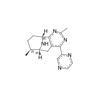 Cc1nc(-c2cnccn2)c2c(n1)[C@H]1CC[C@H](C)[C@@H](C2)N1